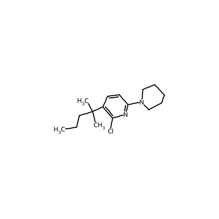 CCCC(C)(C)c1ccc(N2CCCCC2)nc1Cl